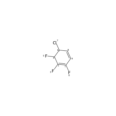 FC1=C(F)C(F)[C](Cl)C=C1